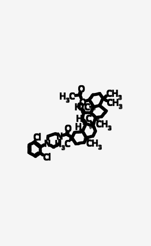 CC(=O)OC1CCC(C)(C)C2CC[C@]3(C)C(C(=O)C=C4[C@@H]5CC(C)(C(=O)N6CCN(c7c(Cl)cccc7Cl)CC6)CC[C@]5(C)CC[C@]43C)[C@@]12C